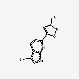 CN1C=C(c2ccc3c(Br)c[nH]c3n2)ON1